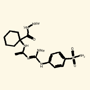 C=C(/N=C(\NC)Nc1ccc(S(N)(=O)=O)cc1)NC1(C(=O)NNC)CCCCC1